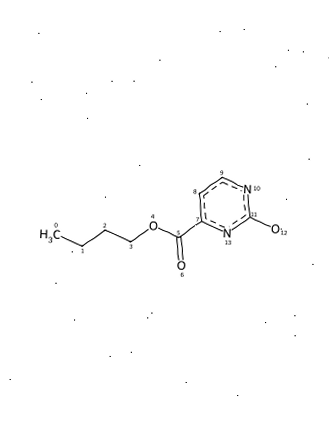 CCCCOC(=O)c1ccnc([O])n1